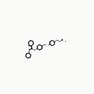 COC(=O)CCc1ccc(NCc2ccc(Cc3c(-c4ccccc4)[nH]c4ccccc34)cc2)cc1